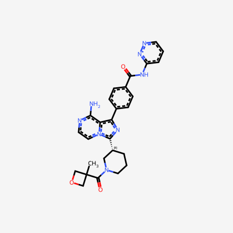 CC1(C(=O)N2CCC[C@@H](c3nc(-c4ccc(C(=O)Nc5cccnn5)cc4)c4c(N)nccn34)C2)COC1